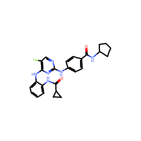 O=C(NC1CCCC1)c1ccc(Nc2ncc(F)c(Nc3ccccc3NC(=O)C3CC3)n2)cc1